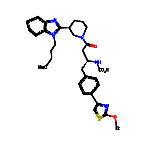 CCOc1nc(-c2ccc(C[C@H](CC(=O)N3CCC[C@@H](c4nc5ccccc5n4CCCOC)C3)NC(=O)O)cc2)cs1